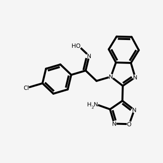 Nc1nonc1-c1nc2ccccc2n1CC(=NO)c1ccc(Cl)cc1